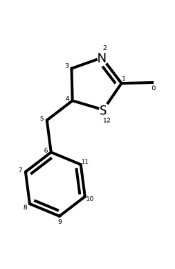 CC1=NCC(Cc2ccccc2)S1